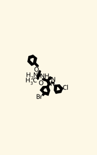 CC[C@](N)(COCc1ccccc1)NC(=O)c1cnn(-c2cccc(Cl)c2)c1-c1ccc(Br)cc1